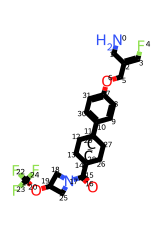 NC/C(=C\F)COc1ccc(C23CCC(C(=O)N4CC(OC(F)(F)F)C4)(CC2)CC3)cc1